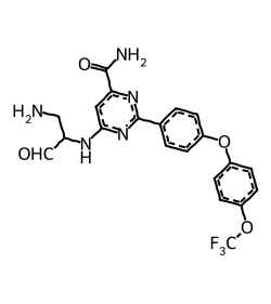 NCC(C=O)Nc1cc(C(N)=O)nc(-c2ccc(Oc3ccc(OC(F)(F)F)cc3)cc2)n1